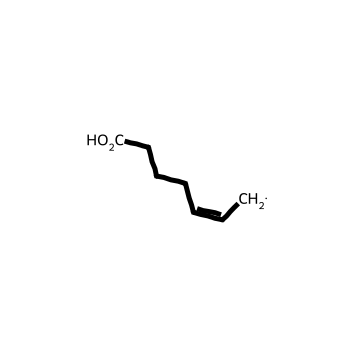 [CH2]/C=C\CCCC(=O)O